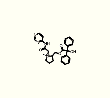 C[N@+]1(CC(=O)Nc2ccncn2)CCCC1COC(=O)C(O)(c1ccccc1)c1ccccc1